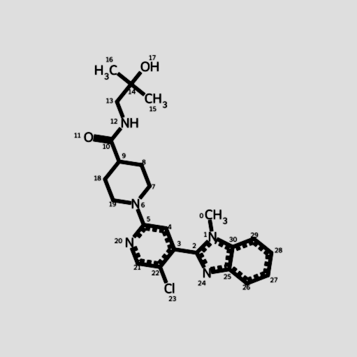 Cn1c(-c2cc(N3CCC(C(=O)NCC(C)(C)O)CC3)ncc2Cl)nc2ccccc21